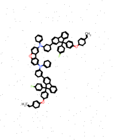 C=CC1=CC=C(OC2C=CC(C3(C4=CCC(F)C=C4)c4ccccc4C4C=CC(C5=CC(N(C6=CC=CCC6)c6ccc7c(c6)C6C=C(N(C8=CC=CCC8)C8C=CCC(C9=CC%10C(C=C9)c9ccccc9C%10(c9ccc(OC%10CC=C(C=C)CC%10)cc9)C9C=CC(F)=CC9)C8)C=CC6O7)=CCC5)=CC43)=CC2)CC1